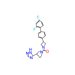 O=C(N1CC(c2ccc(-c3ccc(F)cc3F)cc2)C1)N1CCC(c2ncn[nH]2)C1